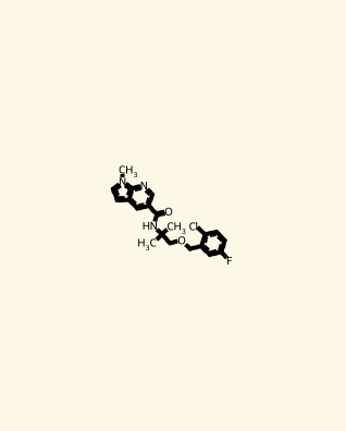 Cn1ccc2cc(C(=O)NC(C)(C)COCc3cc(F)ccc3Cl)cnc21